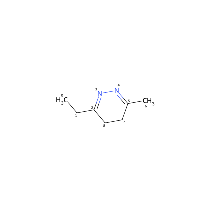 CCC1=NN=C(C)CC1